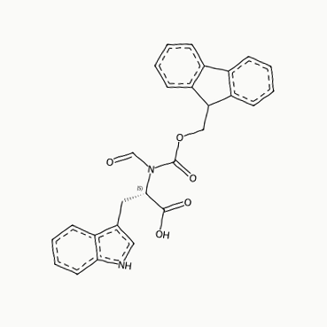 O=CN(C(=O)OCC1c2ccccc2-c2ccccc21)[C@@H](Cc1c[nH]c2ccccc12)C(=O)O